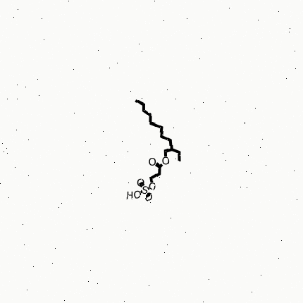 CCCCCCCCC(CC)COC(=O)CCOS(=O)(=O)O